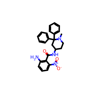 CN1CCC(NC(=O)c2c(N)cccc2[N+](=O)[O-])CC1(c1ccccc1)c1ccccc1